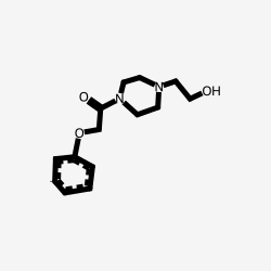 O=C(COc1c[c]ccc1)N1CCN(CCO)CC1